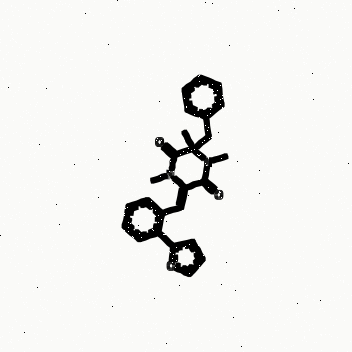 CN1C(=O)C(C)(Cc2ccccc2)N(C)C(=O)/C1=C/c1ccccc1-c1ccco1